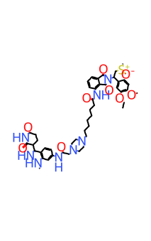 CCOc1cc(C(C[S+](C)[O-])N2C(=O)c3cccc(NC(=O)CCCCCCCN4CCN(CC(=O)Nc5ccc(C(=N)C6CCC(=O)NC6=O)c(NC)c5)CC4)c3C2=O)ccc1OC